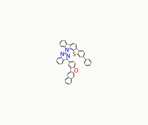 c1ccc(-c2ccc3c(c2)sc2c3ccc3c4ccccc4n(-c4nc(-c5ccc6oc7cc8ccccc8cc7c6c5)c5ccccc5n4)c32)cc1